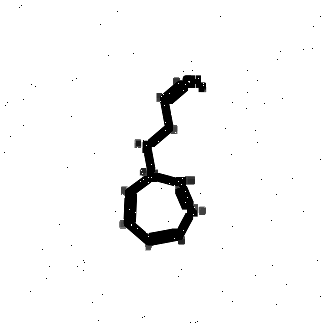 C=CCSN1C=CC=CN=N1